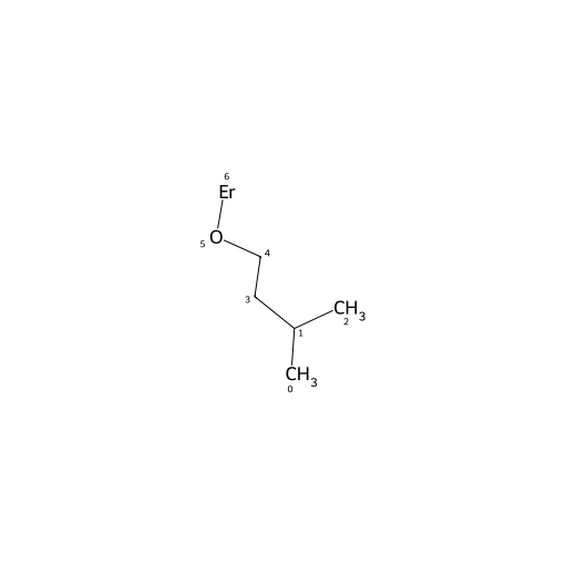 CC(C)CC[O][Er]